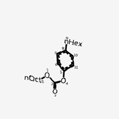 CCCCCCCCOC(=O)Oc1ccc(CCCCCC)cc1